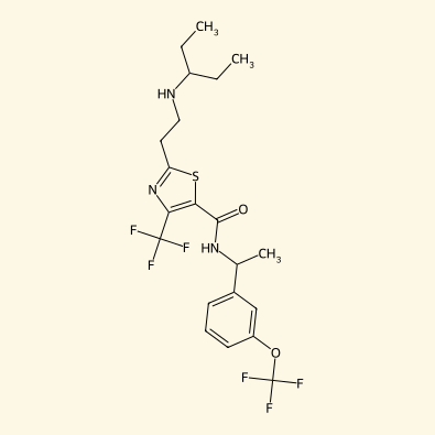 CCC(CC)NCCc1nc(C(F)(F)F)c(C(=O)NC(C)c2cccc(OC(F)(F)F)c2)s1